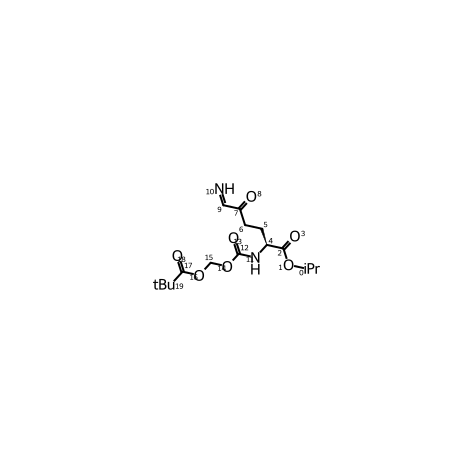 CC(C)OC(=O)[C@H](CCC(=O)C=N)NC(=O)OCOC(=O)C(C)(C)C